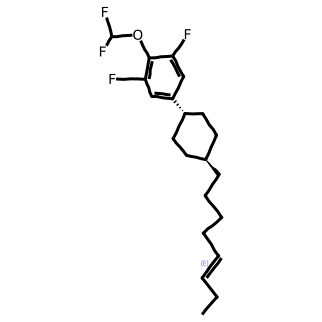 CC/C=C/CCCC[C@H]1CC[C@H](c2cc(F)c(OC(F)F)c(F)c2)CC1